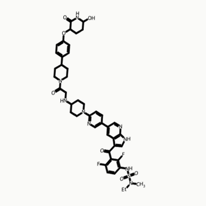 CCN(C)S(=O)(=O)Nc1ccc(F)c(C(=O)c2c[nH]c3ncc(-c4ccc(N5CCC(NCC(=O)N6CCC(c7ccc(OC8CCC(O)NC8=O)cc7)CC6)CC5)nc4)cc23)c1F